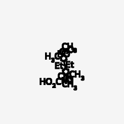 CCC(CC)(c1ccc(OC(C)C2(O)CCCC2)c(C)c1)c1ccc(C(=O)N(C)C(C)C(=O)O)c(C)c1